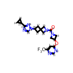 O=C(N1CC(Oc2cc(C(F)(F)F)ncn2)C1)N1CC2(CC(n3cnc(C4CC4)n3)C2)C1